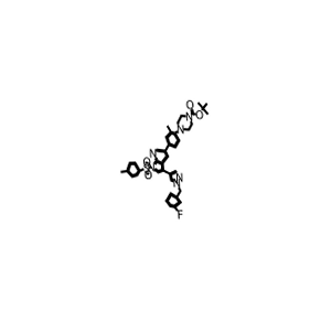 Cc1ccc(S(=O)(=O)n2cc(-c3cnn(Cc4cccc(F)c4)c3)c3cc(-c4ccc(N5CCN(C(=O)OC(C)(C)C)CC5)c(C)c4)cnc32)cc1